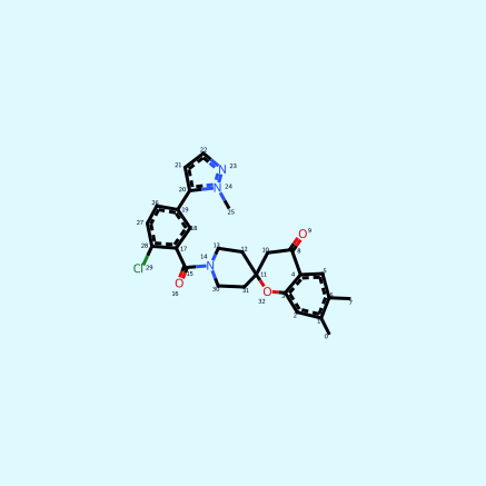 Cc1cc2c(cc1C)C(=O)CC1(CCN(C(=O)c3cc(-c4ccnn4C)ccc3Cl)CC1)O2